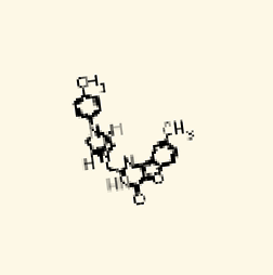 Cc1ccc(N2C[C@@H]3C[C@H]2CN3Cc2nc3c(oc4ccc(C)cc43)c(=O)[nH]2)cc1